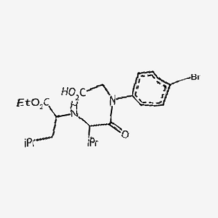 CCOC(=O)C(CC(C)C)NC(C(=O)N(CC(=O)O)c1ccc(Br)cc1)C(C)C